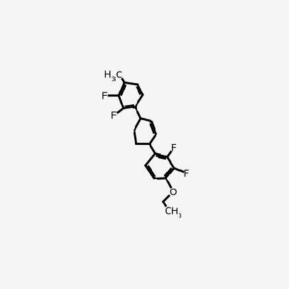 CCOc1ccc(C2C=CC(c3ccc(C)c(F)c3F)CC2)c(F)c1F